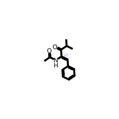 CC(=O)N/C(=C\c1ccccc1)C(=O)C(C)C